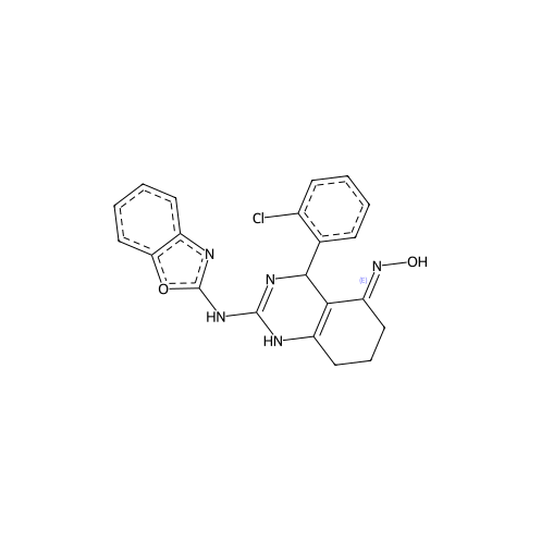 O/N=C1\CCCC2=C1C(c1ccccc1Cl)N=C(Nc1nc3ccccc3o1)N2